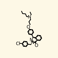 CCCCN(CC)CCCOc1ccc(-c2nn(Cc3ccc(Cl)cc3)c(=O)c3ccccc23)cc1